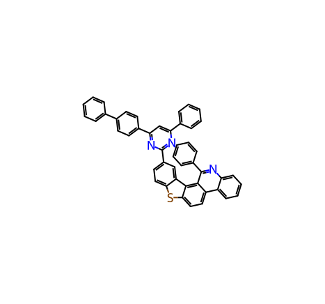 c1ccc(-c2ccc(-c3cc(-c4ccccc4)nc(-c4ccc5sc6ccc7c8ccccc8nc(-c8ccccc8)c7c6c5c4)n3)cc2)cc1